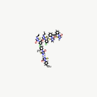 C#CCN1CC(=O)N(c2cc(Cl)ccc2C)C1=S.C=CCN1CC(=O)N(c2cc(Cl)ccc2C)C1=S.CC(C)c1ccccc1N1C(=O)CN(C)C1=S.CCc1cccc(C(C)C)c1N1C(=O)CN(CC)C1=S.CCc1ccccc1N1C(=O)CN(C)C1=S.CN1CC(=O)N(c2ccc(C(C)(C)C)cc2)C1=S